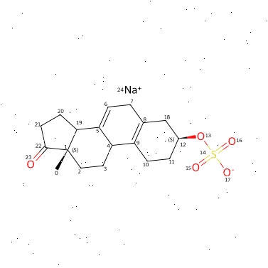 C[C@]12CCC3C(=CCC4=C3CC[C@H](OS(=O)(=O)[O-])C4)C1CCC2=O.[Na+]